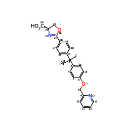 CC(C)C(C)(c1ccc(OCc2ccccn2)cc1)c1ccc(C2=N[C@@H](C(=O)O)CO2)cc1